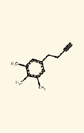 [C]#CCCc1cc(C)c(C)c(C)c1